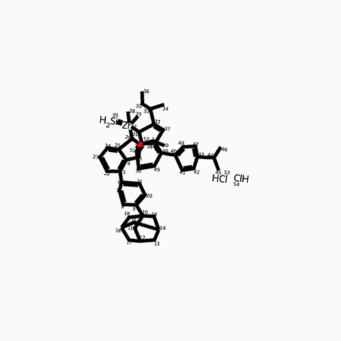 CCC1=Cc2c(-c3ccc(C45CC6CC(CC(C6)C4)C5)cc3)cccc2[CH]1[Zr]([CH3])([CH3])(=[SiH2])[CH]1C(C(C)CC)=Cc2c(-c3ccc(C(C)C)cc3)cccc21.Cl.Cl